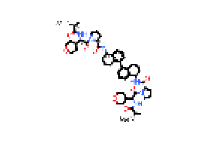 CN[C@@H](C)C(=O)N[C@H](C(=O)N1CCC[C@H]1C(=O)N[C@@H]1CCCc2c(-c3cccc4c3CCC[C@H]4NC(=O)[C@@H]3CCCN3C(=O)[C@@H](NC(=O)[C@H](C)NC)C3CCOCC3)cccc21)C1CCOCC1